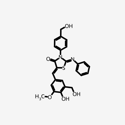 COc1cc(/C=C2\S/C(=N\c3ccccc3)N(c3ccc(CO)cc3)C2=O)cc(CO)c1O